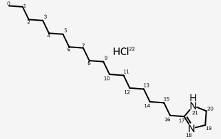 CCCCCCCCCCCCCCCCCC1=NCCN1.Cl